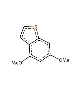 COc1cc(OC)c2ccsc2c1